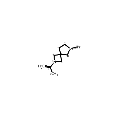 C=C(C)N1CC2(CCN(C(C)C)C2)C1